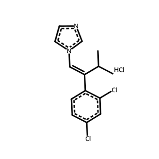 CC(C)C(=Cn1ccnc1)c1ccc(Cl)cc1Cl.Cl